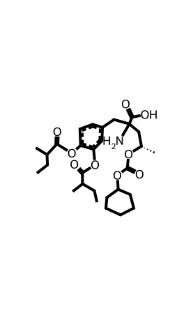 CCC(C)C(=O)Oc1ccc(CC(N)(C[C@H](C)OC(=O)OC2CCCCC2)C(=O)O)cc1OC(=O)C(C)CC